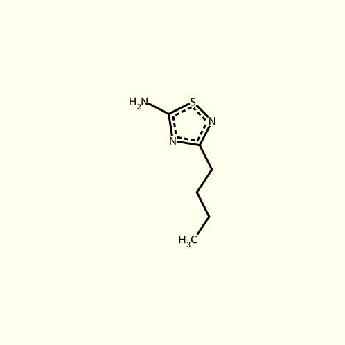 CCCCc1nsc(N)n1